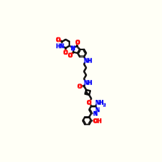 Nc1nnc(-c2ccccc2O)cc1OCC12CC(C(=O)NCCCCCNc3ccc4c(c3)C(=O)N(C3CCC(=O)NC3=O)C4=O)(C1)C2